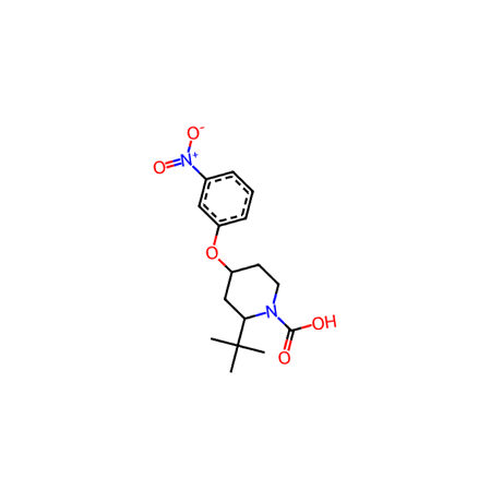 CC(C)(C)C1CC(Oc2cccc([N+](=O)[O-])c2)CCN1C(=O)O